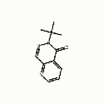 CC(C)(C)n1ncc2ncccc2c1=O